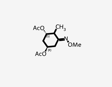 CON=C1C[C@@H](OC(C)=O)C[C@H](OC(C)=O)C1C